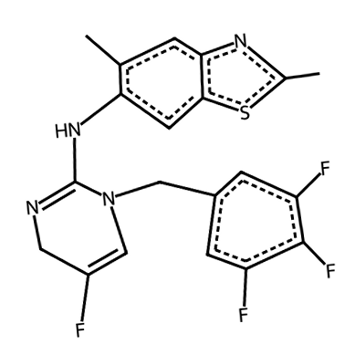 Cc1nc2cc(C)c(NC3=NCC(F)=CN3Cc3cc(F)c(F)c(F)c3)cc2s1